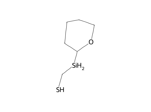 SC[SiH2]C1CCCCO1